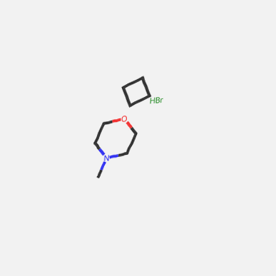 Br.C1CCC1.CN1CCOCC1